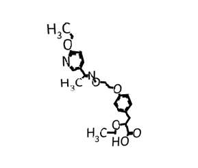 CCOc1ccc(C(C)=NOCCOc2ccc(CC(OCC)C(=O)O)cc2)cn1